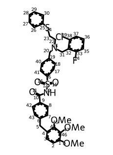 COc1ccc(Cc2ccc(C(=O)NS(=O)(=O)c3ccc(CN(CCSc4ccccc4)Cc4c(F)cccc4Cl)cc3)cc2)c(OC)c1OC